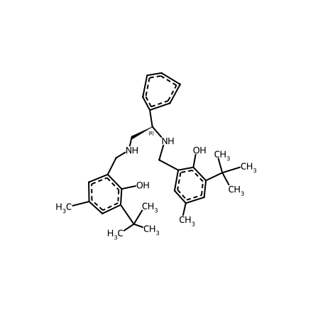 Cc1cc(CNC[C@H](NCc2cc(C)cc(C(C)(C)C)c2O)c2ccccc2)c(O)c(C(C)(C)C)c1